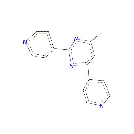 Cc1cc(-c2ccncc2)nc(-c2ccncc2)n1